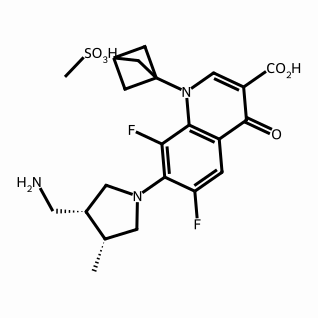 CS(=O)(=O)O.C[C@H]1CN(c2c(F)cc3c(=O)c(C(=O)O)cn(C45CC(C4)C5)c3c2F)C[C@H]1CN